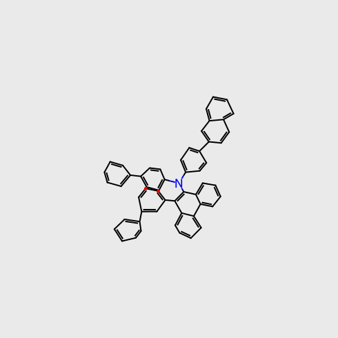 c1ccc(-c2ccc(N(c3ccc(-c4ccc5ccccc5c4)cc3)c3c(-c4cccc(-c5ccccc5)c4)c4ccccc4c4ccccc34)cc2)cc1